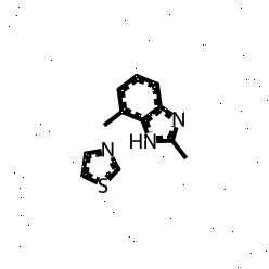 Cc1nc2cccc(C)c2[nH]1.c1cscn1